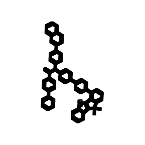 C=C(c1ccc(-c2ccccc2)cc1)C(c1ccc(-c2ccc(-c3cccc4c3-c3sc5ccccc5c3C4(C)C)cc2)cc1)c1ccc(-c2ccc3ccccc3c2)cc1